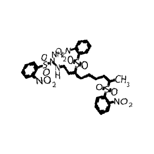 CC(CCCCC(CCNN(N)S(=O)(=O)c1ccccc1[N+](=O)[O-])S(=O)(=O)c1ccccc1[N+](=O)[O-])S(=O)(=O)c1ccccc1[N+](=O)[O-]